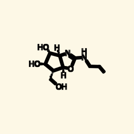 CCCNC1=N[C@@H]2[C@@H](O)[C@H](O)[C@@H](CO)[C@@H]2O1